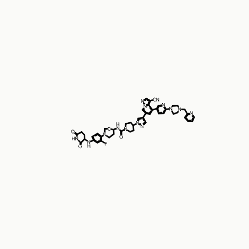 N#Cc1cnn2cc(-c3cnn(C4CCN(C(=O)NC5CCN(c6ccc(NC7CCC(=O)NC7=O)cc6F)CC5)CC4)c3)cc(-c3ccc(N4CCN(Cc5ccccn5)CC4)nc3)c12